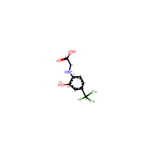 O=C(O)CNc1ccc(C(F)(F)F)cc1O